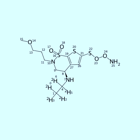 [2H]C([2H])([2H])C([2H])([2H])N[C@H]1CN(CCCOC)S(=O)(=O)c2sc(SOON)cc21